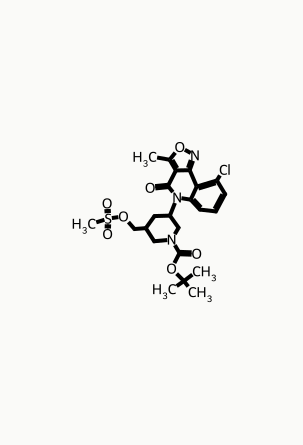 Cc1onc2c1c(=O)n(C1CC(COS(C)(=O)=O)CN(C(=O)OC(C)(C)C)C1)c1cccc(Cl)c21